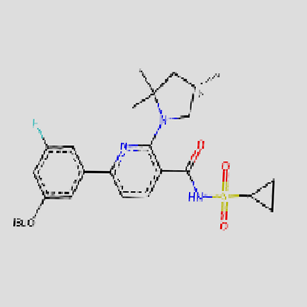 CC(C)COc1cc(F)cc(-c2ccc(C(=O)NS(=O)(=O)C3CC3)c(N3C[C@@H](C)CC3(C)C)n2)c1